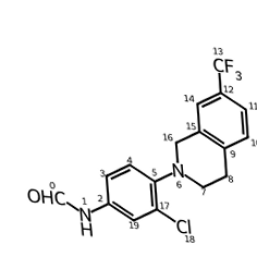 O=CNc1ccc(N2CCc3ccc(C(F)(F)F)cc3C2)c(Cl)c1